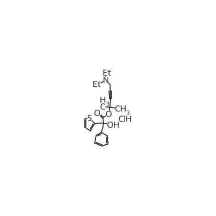 CCN(CC)CC#CC(C)(C)OC(=O)C(O)(c1ccccc1)c1cccs1.Cl